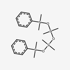 C[Si](C)(O[Si](C)(C)O[Si](C)(C)c1ccccc1)O[Si](C)(C)c1ccccc1